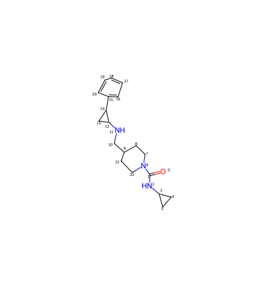 O=C(NC1CC1)N1CCC(CNC2CC2c2ccccc2)CC1